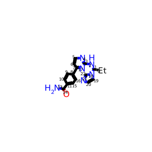 CCC(Nc1nccc(-c2ccc(C(N)=O)cc2)n1)n1ccnc1